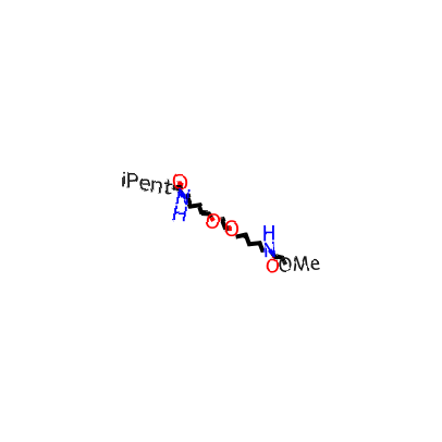 CCCC(C)C(=O)NCCCCCOCCOCCCCCNC(=O)COC